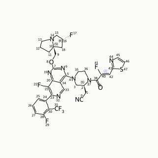 N#CC[C@H]1CN(c2nc(OC[C@@]34CCCN3C[C@H](F)C4)nc3c(F)c(-c4cccc(F)c4C(F)(F)F)ncc23)CCN1C(=O)/C(F)=C/c1nccs1